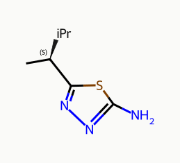 CC(C)[C@H](C)c1nnc(N)s1